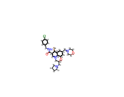 O=C(NCc1ccc(Cl)cc1)c1cn2c3c(cc(CN4CCOCC4)cc3c1=S)OC(CN1CCCC1)C2